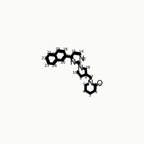 O=C1CCCCN1CC1CCN(c2nccc(-c3ccc4ccccc4c3)n2)C1